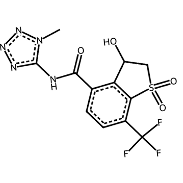 Cn1nnnc1NC(=O)c1ccc(C(F)(F)F)c2c1C(O)CS2(=O)=O